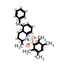 Cc1cc(C)c(C)c(S(=O)(=O)N2C3=CC=CC([Se]c4ccccc4)C3CCC2C)c1C